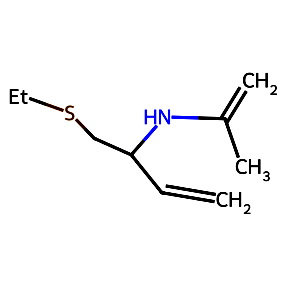 C=CC(CSCC)NC(=C)C